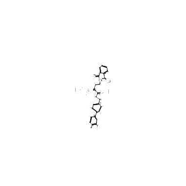 Cc1ccc(-c2ccc(CC[C@@H](O)[C@@H](CCN3C(=O)c4ccccc4C3=O)C(=O)O)cc2)cc1F